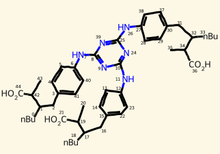 CCCCC(Cc1ccc(Nc2nc(Nc3ccc(CC(CCCC)C(C)C(=O)O)cc3)nc(Nc3ccc(CC(CCCC)C(C)C(=O)O)cc3)n2)cc1)C(C)C(=O)O